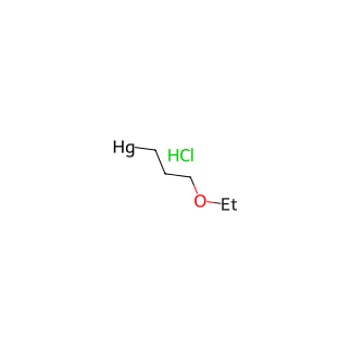 CCOCC[CH2][Hg].Cl